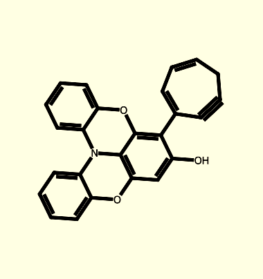 Oc1cc2c3c(c1C1=CC=CCC#C1)Oc1ccccc1N3c1ccccc1O2